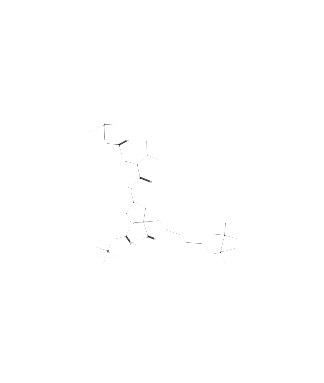 CC(C)C(NC(=O)OC(C)(C)C)C(=O)NC1CN(C(=O)OC(C)(C)C)C(CCCCB2OC(C)(C)C(C)(C)O2)(C(=O)O)C1